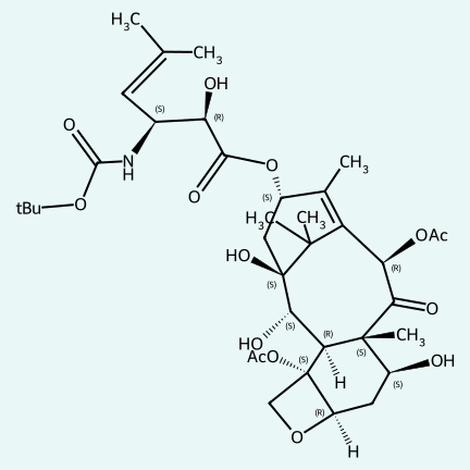 CC(=O)O[C@H]1C(=O)[C@@]2(C)[C@H]([C@H](O)[C@]3(O)C[C@H](OC(=O)[C@H](O)[C@H](C=C(C)C)NC(=O)OC(C)(C)C)C(C)=C1C3(C)C)[C@]1(OC(C)=O)CO[C@@H]1C[C@@H]2O